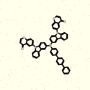 O=c1ccoc2ccc(-n3c4ccccc4c4cc(N(c5ccc(-c6ccc(-c7ccccc7)cc6)cc5)c5ccc6c(c5)c5ccccc5n6-c5ccc6occc(=O)c6c5)ccc43)cc12